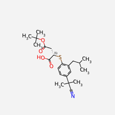 CC(C)Cc1cc(C(C)(C)C#N)ccc1S[C@@H](CC(=O)OC(C)(C)C)C(=O)O